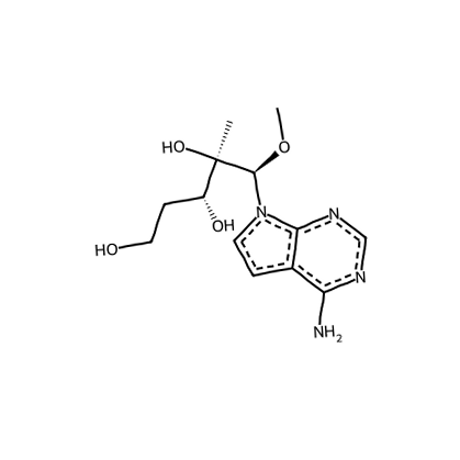 CO[C@@H](n1ccc2c(N)ncnc21)[C@](C)(O)[C@H](O)CCO